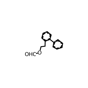 O=COCCc1ccccc1-c1ccccc1